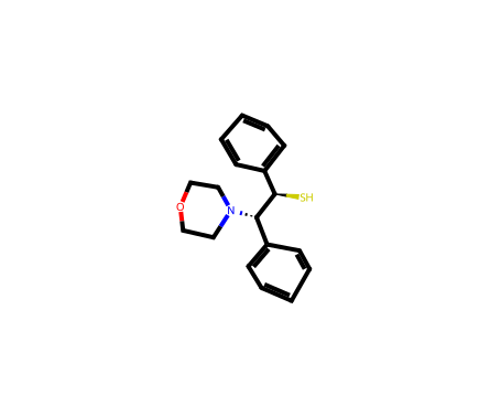 S[C@H](c1ccccc1)[C@H](c1ccccc1)N1CCOCC1